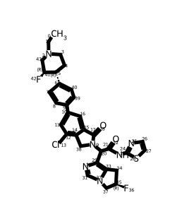 CCN1CC[C@H](c2ccc(-c3cc(Cl)c4c(c3)C(=O)N(C(C(=O)Nc3nccs3)c3ncn5c3C[C@@H](F)C5)C4)cc2)[C@@H](F)C1